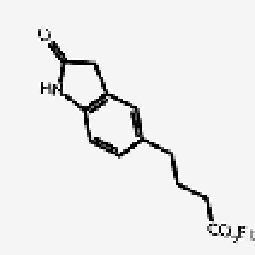 CCOC(=O)CCCc1ccc2c(c1)CC(=O)N2